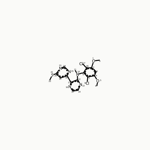 COc1cc(OC)c(Cl)c(N(C)c2nccnc2-c2cc(SC)ncn2)c1Cl